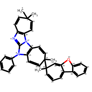 CC1(C)C=Cc2nc3n(-c4ccccc4)c4c(n3c2C=C1)C=CC(C)(C1(C)C=CC=c2c(oc3ccccc23)=C1)C=C4